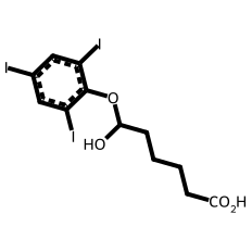 O=C(O)CCCCC(O)Oc1c(I)cc(I)cc1I